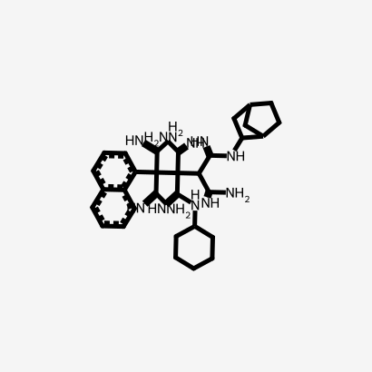 N=C(N)C(C(=N)NC1CC2CCC1C2)C(C(=N)N)(C(=N)NC1CCCCC1)C(C(=N)N)(C(=N)N)c1cccc2ccccc12